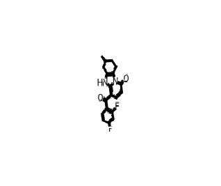 CC1CCc2c([nH]c3c(C(=O)c4ccc(F)cc4F)ccc(=O)n23)C1